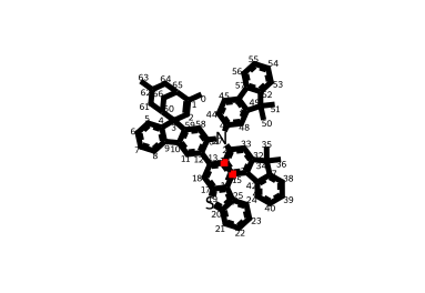 CC1=CC2(c3ccccc3-c3cc(-c4ccc5c(c4)sc4ccccc45)c(N(c4ccc5c(c4)C(C)(C)c4ccccc4-5)c4ccc5c(c4)C(C)(C)c4ccccc4-5)cc32)C2CC(C)CC1C2